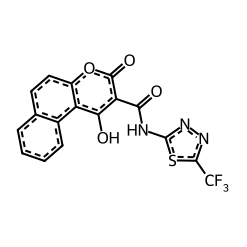 O=C(Nc1nnc(C(F)(F)F)s1)c1c(O)c2c(ccc3ccccc32)oc1=O